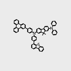 CC1(C)c2cc(N(c3ccccc3)c3ccccc3)ccc2-c2ccc(N(c3ccc(-c4ccc5c6ccccc6c6ccccc6c5c4)cc3)c3ccc(-c4cccc5c4sc4ccccc45)cc3)cc21